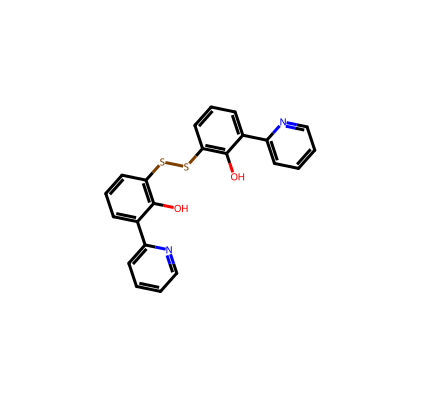 Oc1c(SSc2cccc(-c3ccccn3)c2O)cccc1-c1ccccn1